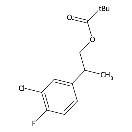 CC(COC(=O)C(C)(C)C)c1ccc(F)c(Cl)c1